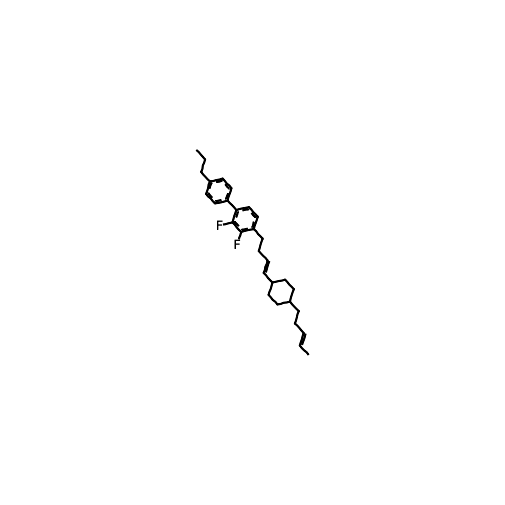 C/C=C/CCC1CCC(/C=C/CCc2ccc(-c3ccc(CCC)cc3)c(F)c2F)CC1